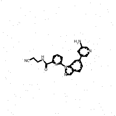 N#CCCNC(=O)c1cccc(-n2ncc3ccc(-c4cncc(N)c4)cc32)n1